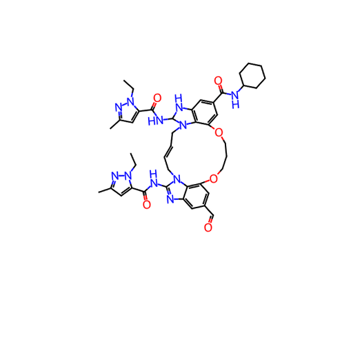 CCn1nc(C)cc1C(=O)Nc1nc2cc(C=O)cc3c2n1C/C=C/CN1c2c(cc(C(=O)NC4CCCCC4)cc2OCCCO3)NC1NC(=O)c1cc(C)nn1CC